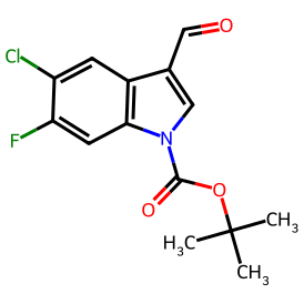 CC(C)(C)OC(=O)n1cc(C=O)c2cc(Cl)c(F)cc21